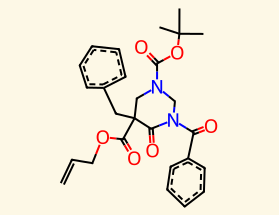 C=CCOC(=O)C1(Cc2ccccc2)CN(C(=O)OC(C)(C)C)CN(C(=O)c2ccccc2)C1=O